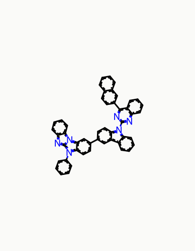 c1ccc(-n2c3ccc(-c4ccc5c(c4)c4ccccc4n5-c4nc(-c5ccc6ccccc6c5)c5ccccc5n4)cc3n3c4ccccc4nc23)cc1